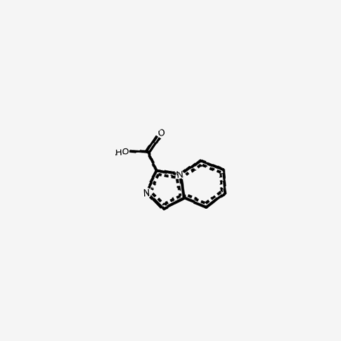 O=C(O)c1ncc2ccccn12